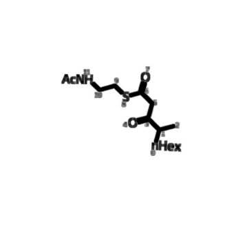 CCCCCCC(C)C(=O)CC(=O)SCCNC(C)=O